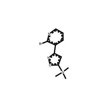 C[Si](C)(C)c1cc(-c2cccnc2Br)no1